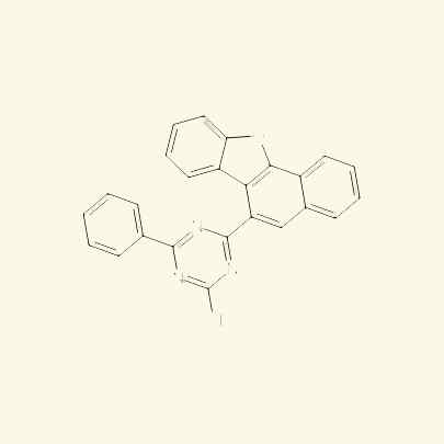 Clc1nc(-c2ccccc2)nc(-c2cc3ccccc3c3oc4ccccc4c23)n1